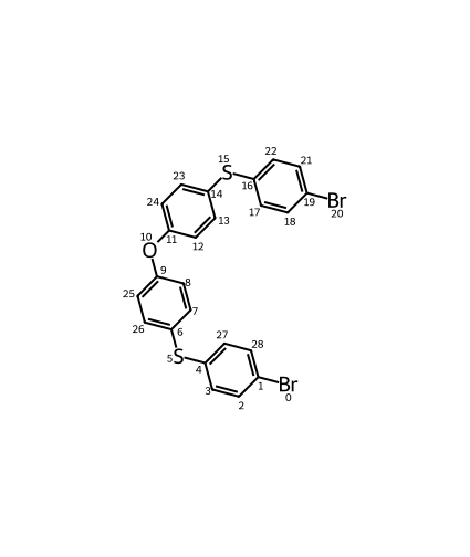 Brc1ccc(Sc2ccc(Oc3ccc(Sc4ccc(Br)cc4)cc3)cc2)cc1